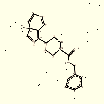 O=C(OCc1ccccc1)N1CCC(C2=C3C=NC=C[N+]3(Cl)C=N2)CC1